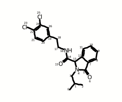 CC(C)CN1C(=O)c2ccccc2C1C(=O)NCCc1ccc(Cl)c(Cl)c1